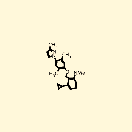 CNc1cccc(C2CC2)c1COc1cc(C)c(-n2ccc(C)n2)cc1C